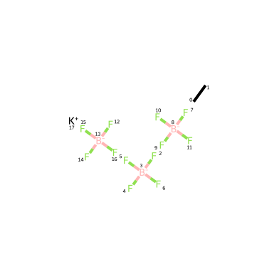 CC.F[B-](F)(F)F.F[B-](F)(F)F.F[B-](F)(F)F.[K+]